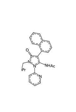 CC(=O)Nc1c(-c2cccc3ccccc23)c(=O)n(CC(C)C)n1-c1ccccn1